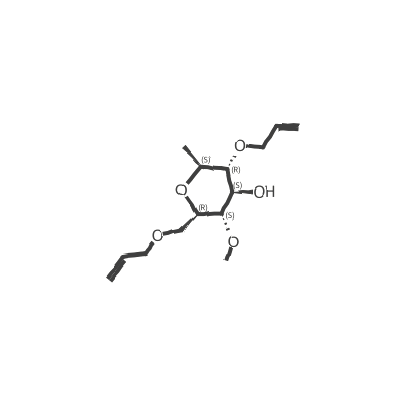 C=CCOC[C@H]1O[C@@H](C)[C@H](OCC=C)[C@@H](O)[C@@H]1OC